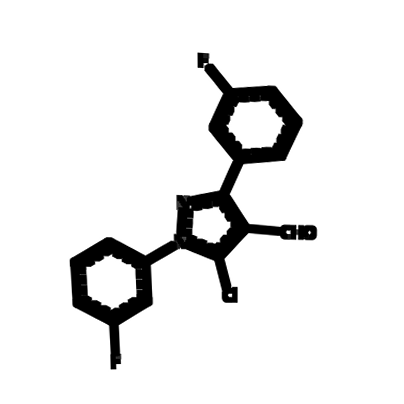 O=Cc1c(-c2cccc(F)c2)nn(-c2cccc(F)c2)c1Cl